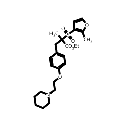 CCOC(=O)C(C)(Cc1ccc(OCCN2CCCCC2)cc1)S(=O)(=O)c1ccoc1C